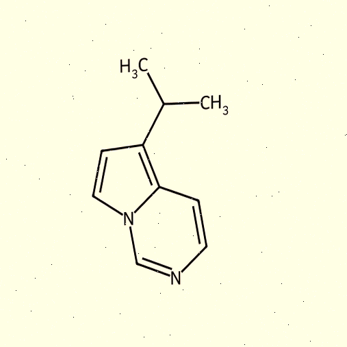 CC(C)c1ccn2cnccc12